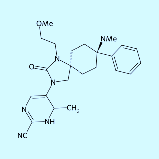 CN[C@]1(c2ccccc2)CC[C@]2(CC1)CN(C1=CN=C(C#N)NC1C)C(=O)N2CCOC